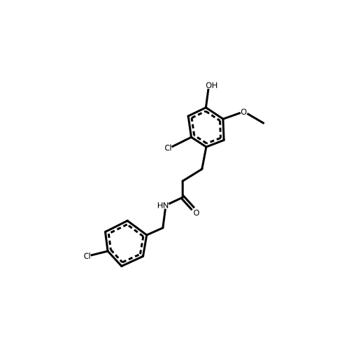 COc1cc(CCC(=O)NCc2ccc(Cl)cc2)c(Cl)cc1O